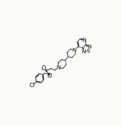 O=S(=O)(CCN1CCC(C2CCN(c3ccnc4nsnc34)CC2)CC1)c1ccc(Cl)cc1